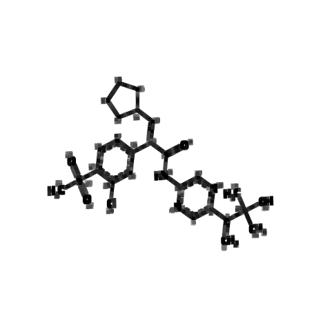 C=C(c1cnc(NC(=O)/C(=C/C2CCCC2)c2ccc(S(C)(=O)=O)c(Cl)c2)cn1)C(C)(C)O